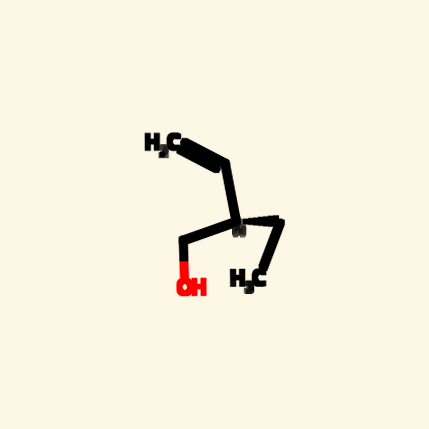 C=C[C@H](CC)CO